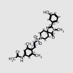 CC(=O)Nc1cc(C)c(/C=C/S(=O)(=O)N2CCC3(CC2)N=C(c2cccc(O)c2)N(C)C3=O)c(C)c1